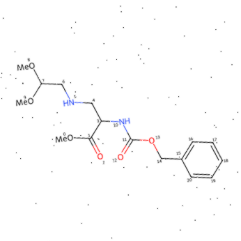 COC(=O)C(CNCC(OC)OC)NC(=O)OCc1ccccc1